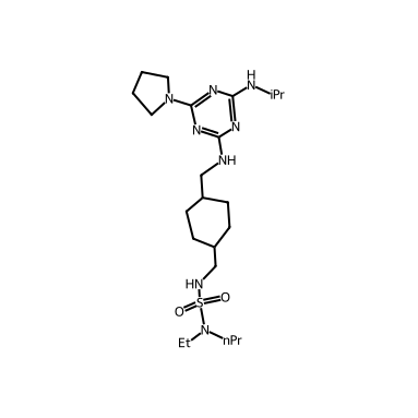 CCCN(CC)S(=O)(=O)NCC1CCC(CNc2nc(NC(C)C)nc(N3CCCC3)n2)CC1